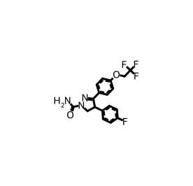 NC(=O)N1CC(c2ccc(F)cc2)C(c2ccc(OCC(F)(F)F)cc2)=N1